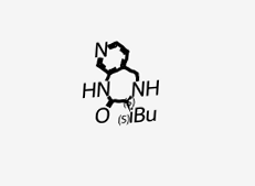 CC[C@H](C)[C@@H]1NCc2ccncc2NC1=O